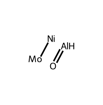 [Ni][Mo].[O]=[AlH]